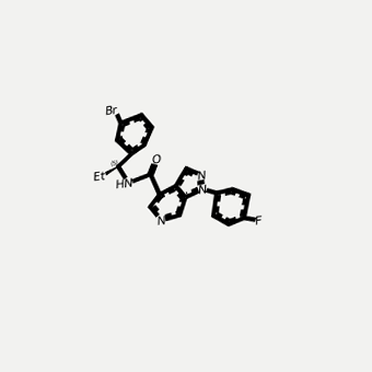 CC[C@H](NC(=O)c1cncc2c1cnn2-c1ccc(F)cc1)c1cccc(Br)c1